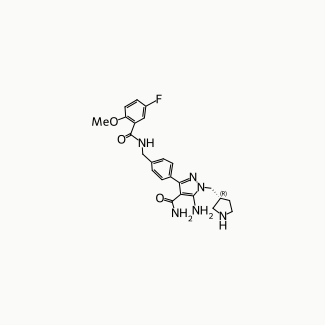 COc1ccc(F)cc1C(=O)NCc1ccc(-c2nn(C[C@@H]3CCNC3)c(N)c2C(N)=O)cc1